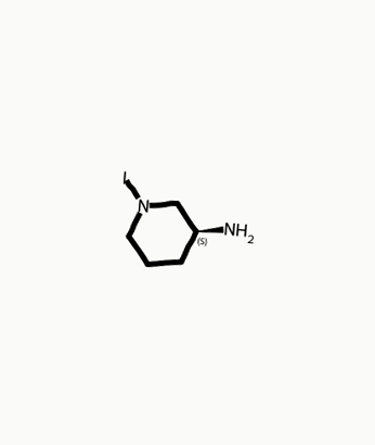 N[C@H]1CCCN(I)C1